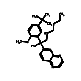 CCCCNCC(O)(c1ccc2nccnc2c1)c1cc(C(C)(C)C)ccc1OC